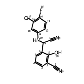 N#Cc1cccc(C(C#N)Nc2ccc(F)c(Cl)c2)c1O